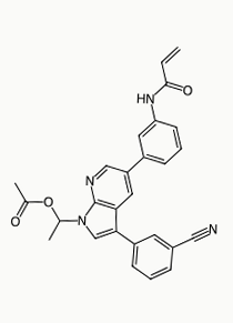 C=CC(=O)Nc1cccc(-c2cnc3c(c2)c(-c2cccc(C#N)c2)cn3C(C)OC(C)=O)c1